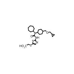 O=C(O)CSc1cnc(NC(=O)N(C2CCCCCC2)C2CCC(COCC3CC3)CC2)s1